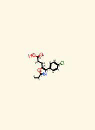 CCc1nc(-c2ccc(Cl)cc2)c(CCC(=O)O)o1